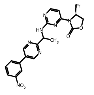 CC(Nc1nccc(N2C(=O)OC[C@@H]2C(C)C)n1)c1ncc(-c2cccc([N+](=O)[O-])c2)cn1